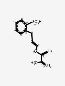 C=C(C)C(=O)OC=CCc1ccccc1S(=O)(=O)O